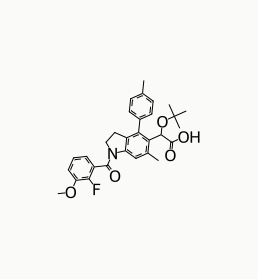 COc1cccc(C(=O)N2CCc3c2cc(C)c(C(OC(C)(C)C)C(=O)O)c3-c2ccc(C)cc2)c1F